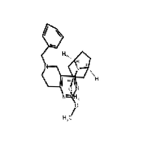 COc1nc2c(c(N3[C@@H]4CC[C@H]3C[C@@H](OC)C4)n1)CN(Cc1ccccc1)CC2